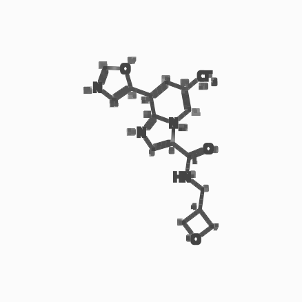 O=C(NCC1COC1)c1cnc2c(-c3cnco3)cc(C(F)(F)F)cn12